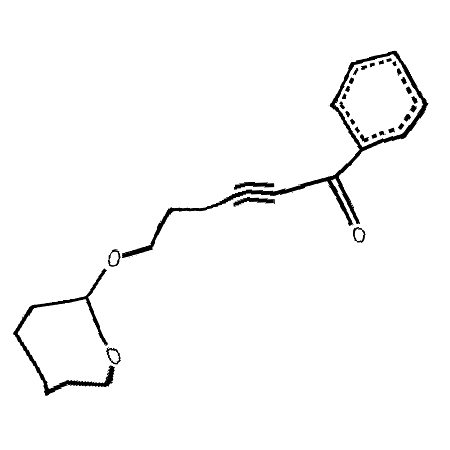 O=C(C#CCCOC1CCCCO1)c1ccccc1